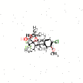 CCC(C(C)(C)c1ccc(Cl)c(OC)c1)C(O[Si](C)(C)C)(C(=O)O)C(F)(F)F